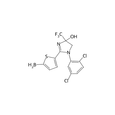 Bc1ccc(C2=NC(O)(C(F)(F)F)CN2c2cc(Cl)ccc2Cl)s1